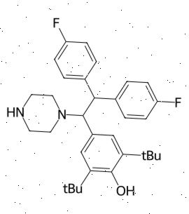 CC(C)(C)c1cc(C(C(c2ccc(F)cc2)c2ccc(F)cc2)N2CCNCC2)cc(C(C)(C)C)c1O